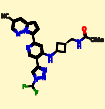 COC(=O)NC[C@H]1C[C@H](Nc2cc(-c3ccc4cc(C#N)cnn34)ncc2-c2cn(C(F)F)nn2)C1